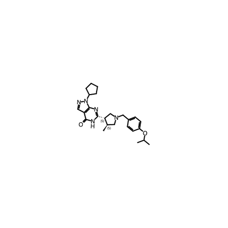 CC(C)Oc1ccc(CN2C[C@@H](C)[C@H](c3nc4c(cnn4C4CCCC4)c(=O)[nH]3)C2)cc1